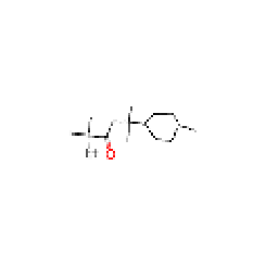 CCC(C)(C)C(=O)CC(C)(C)C1CCC(C)CC1